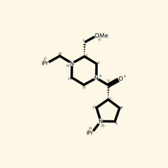 COC[C@@H]1CN(C(=O)[C@@H]2CCN(C(C)C)C2)CCN1CC(C)C